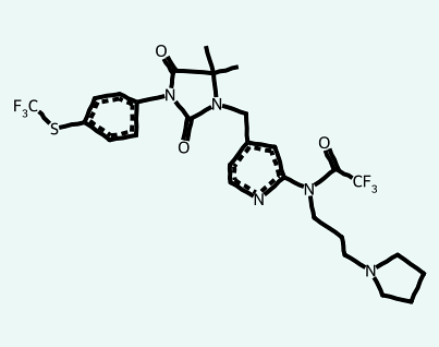 CC1(C)C(=O)N(c2ccc(SC(F)(F)F)cc2)C(=O)N1Cc1ccnc(N(CCCN2CCCC2)C(=O)C(F)(F)F)c1